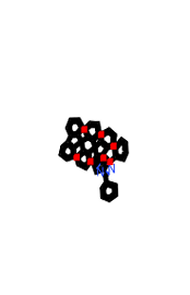 c1ccc(-c2cc(-c3cccc4c3C3(c5ccccc5-c5ccccc53)c3ccccc3C43c4ccccc4-c4ccccc43)nc(-c3ccccc3)n2)cc1